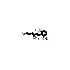 CC(=O)/C=C/C=C(C)/C=C/c1c(C)cccc1C